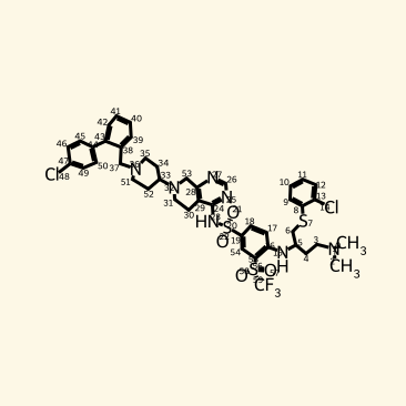 CN(C)CCC(CSc1ccccc1Cl)Nc1ccc(S(=O)(=O)Nc2ncnc3c2CCN(C2CCN(Cc4ccccc4-c4ccc(Cl)cc4)CC2)C3)cc1S(=O)(=O)C(F)(F)F